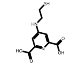 O=C(O)c1cc(NCCS)cc(C(=O)O)n1